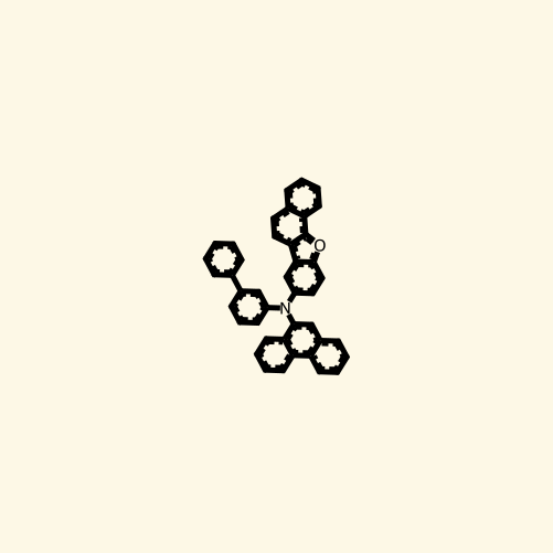 c1ccc(-c2cccc(N(c3ccc4oc5c6ccccc6ccc5c4c3)c3cc4ccccc4c4ccccc34)c2)cc1